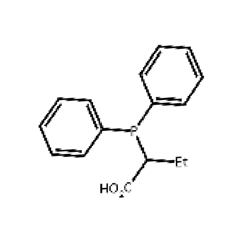 CCC(C(=O)O)P(c1ccccc1)c1ccccc1